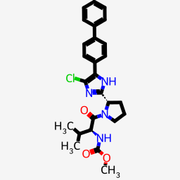 COC(=O)N[C@H](C(=O)N1CCC[C@H]1c1nc(Cl)c(-c2ccc(-c3ccccc3)cc2)[nH]1)C(C)C